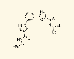 CCC(CC)NC(=O)c1cnc(-c2cccc(-c3cc(C(=O)N[C@@H](C)C(C)(C)C)n[nH]3)c2)o1